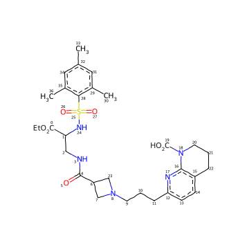 CCOC(=O)C(CNC(=O)C1CN(CCCc2ccc3c(n2)N(C(=O)O)CCC3)C1)NS(=O)(=O)c1c(C)cc(C)cc1C